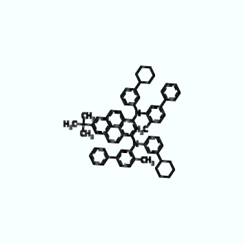 Cc1ccc(-c2ccccc2)cc1N(c1cccc(C2CCCCC2)c1)c1cc(N(c2cccc(C3CCCCC3)c2)c2cc(-c3ccccc3)ccc2C)c2ccc3cc(C(C)(C)C)cc4ccc1c2c43